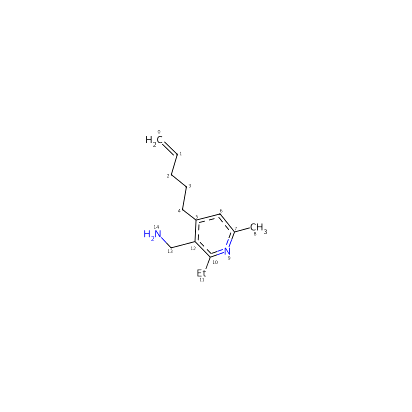 C=CCCCc1cc(C)nc(CC)c1CN